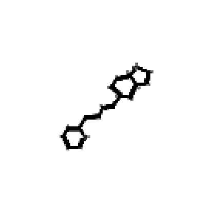 C(C=Cc1ccccn1)=Cc1ccc2[nH]ccc2c1